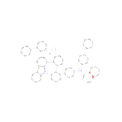 CC1(c2cccc(-c3ccccc3)c2)c2ccc(-c3cccc(N(C4=CC=CCC4)c4ccc(-c5ccccc5)cc4-c4ccccc4)c3)c3c2-c2c1ccc1c4ccccc4n(c21)-c1ccccc1-3